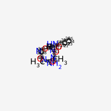 CN1C[C@H](N)C(=O)N(C)CC(=O)N2C[C@@H](NC(=O)Cc3ccc4ccccc4c3)C[C@H]2COc2cncc(c2)C1=O